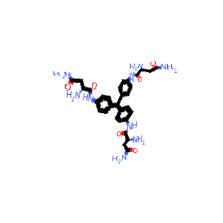 NC(=O)C[C@H](N)C(=O)Nc1ccc(C(c2ccc(NC(=O)[C@@H](N)CC(N)=O)cc2)c2ccc(NC(=O)[C@@H](N)CC(N)=O)cc2)cc1